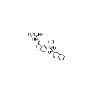 Cl.N=C(N)N/N=C1\CCc2ccc(NS(=O)(=O)c3ccc4ccccc4c3)cc21